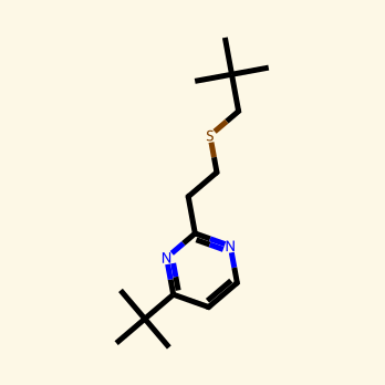 CC(C)(C)CSCCc1nccc(C(C)(C)C)n1